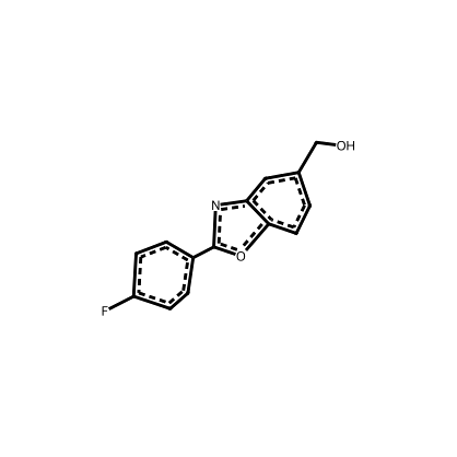 OCc1ccc2oc(-c3ccc(F)cc3)nc2c1